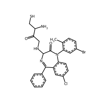 Cc1ccc(Br)cc1N1C(=O)C(NCC(=O)C(N)CS)N=C(c2ccccc2)c2cc(Cl)ccc21